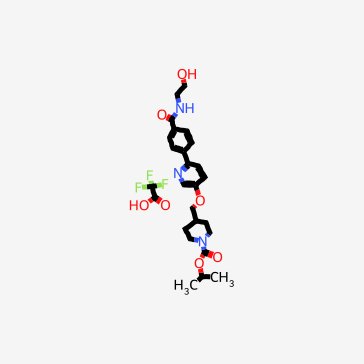 CC(C)OC(=O)N1CCC(COc2ccc(-c3ccc(C(=O)NCCO)cc3)nc2)CC1.O=C(O)C(F)(F)F